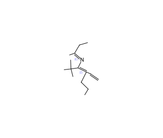 C=C/C(CCC)=C(\N=C(/C)CC)C(C)(C)C